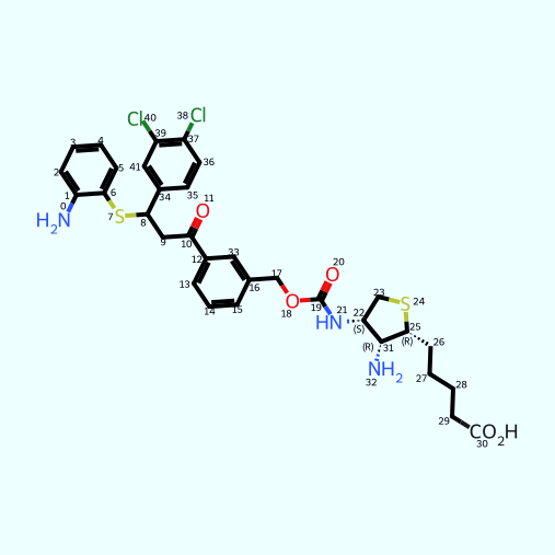 Nc1ccccc1SC(CC(=O)c1cccc(COC(=O)N[C@@H]2CS[C@H](CCCCC(=O)O)[C@@H]2N)c1)c1ccc(Cl)c(Cl)c1